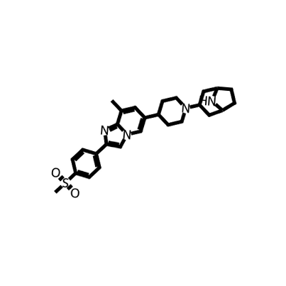 Cc1cc(C2CCN(C3CC4CCC(C3)N4)CC2)cn2cc(-c3ccc(S(C)(=O)=O)cc3)nc12